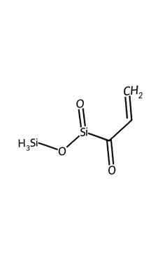 C=CC(=O)[Si](=O)O[SiH3]